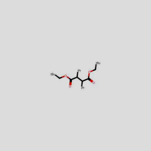 CC(C)C(C(=O)OCC(C)(C)C)C(C(=O)OCC(C)(C)C)C(C)C